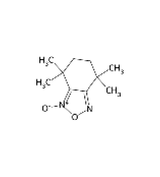 CC1(C)CCC(C)(C)c2c1no[n+]2[O-]